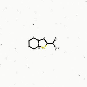 CCC[C@H](CC)C1CC2CCCCC2S1